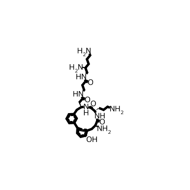 NCCC[C@H](N)CNC(=O)CCNC(=O)C[C@@H]1Cc2cccc(c2)-c2ccc(O)c(c2)C[C@H](N)C(=O)N[C@@H](CCCN)C(=O)N1